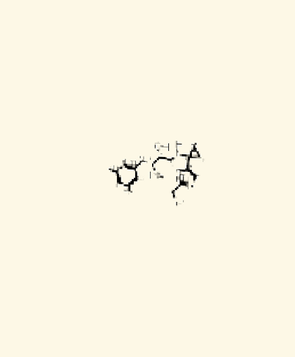 CC(C)Cc1ncc(C2(NC[C@@H](O)[C@H](Cc3cc(F)cc(F)c3)NC(=O)O)CC2)s1